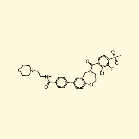 CCc1c(C(=O)N2CCOc3ccc(-c4ccc(C(=O)NCCN5CCOCC5)cc4)cc3C2)ccc(S(C)(=O)=O)c1F